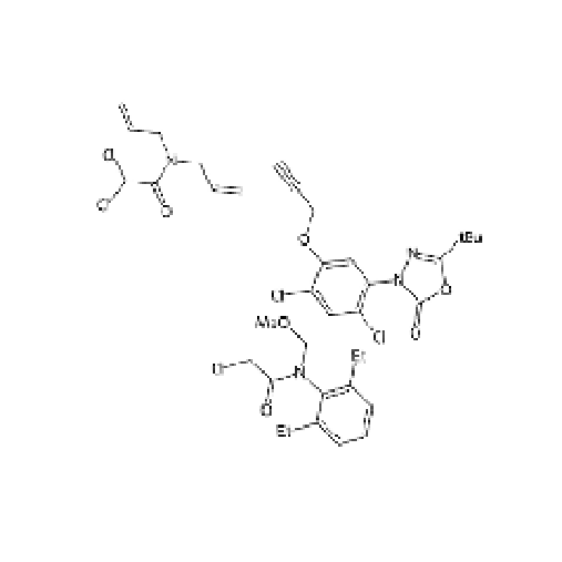 C#CCOc1cc(-n2nc(C(C)(C)C)oc2=O)c(Cl)cc1Cl.C=CCN(CC=C)C(=O)C(Cl)Cl.CCc1cccc(CC)c1N(COC)C(=O)CCl